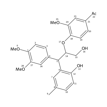 COc1ccc(C(c2cc(C)ccc2O)C(CO)Oc2ccc(C(C)=O)cc2OC)cc1OC